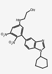 O=[N+]([O-])c1cc(NCCO)cc(-c2ccc3c(c2)ncn3C2CCCCC2)c1[N+](=O)[O-]